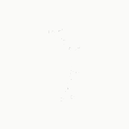 CCC(CC)COCCOC(=O)CCCCC(=O)OCCOCC(CC)CC